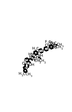 C=CC(=O)Nc1cc(Nc2nc(-c3ccnc(N4CCn5c(cc6c5CC(C)(C)C6)C4=O)c3CO)cn(C)c2=O)ccc1N1CCN(C2CCN(c3ccc(S(=O)(=O)C(C)(C)C(F)(F)F)c(OC(F)(F)F)c3)[C@H](C)C2)C[C@@H]1C